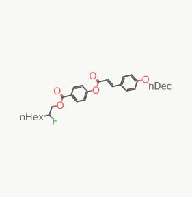 CCCCCCCCCCOc1ccc(C=CC(=O)Oc2ccc(C(=O)OCC(F)CCCCCC)cc2)cc1